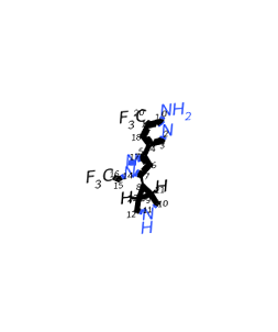 Nc1ncc(-c2cc([C@H]3[C@@H]4CNC[C@@H]43)n(CC(F)(F)F)n2)cc1C(F)(F)F